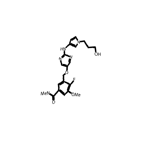 CNC(=O)c1cc(COc2cnc(Nc3ccn(CCCO)c3)nc2)c(F)c(OC)c1